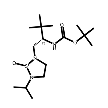 CC(C)N1CCN(C[C@@H](NC(=O)OC(C)(C)C)C(C)(C)C)[S+]1[O-]